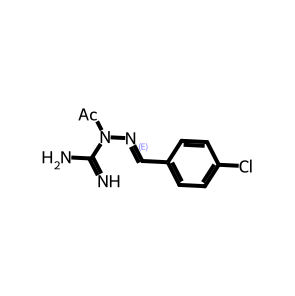 CC(=O)N(/N=C/c1ccc(Cl)cc1)C(=N)N